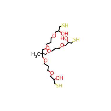 CC(COCCCOCC(O)CS)(COCCCOCC(O)CS)COCCCOCC(O)CS